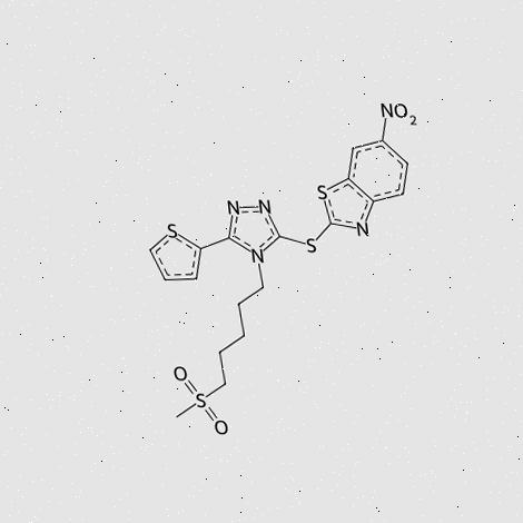 CS(=O)(=O)CCCCCn1c(Sc2nc3ccc([N+](=O)[O-])cc3s2)nnc1-c1cccs1